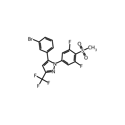 CS(=O)(=O)c1c(F)cc(-n2nc(C(F)(F)F)cc2-c2cccc(Br)c2)cc1F